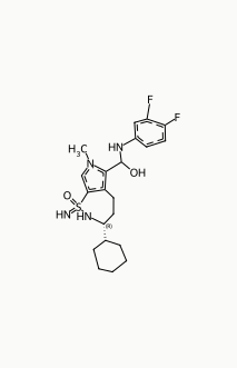 Cn1cc2c(c1C(O)Nc1ccc(F)c(F)c1)CC[C@H](C1CCCCC1)NS2(=N)=O